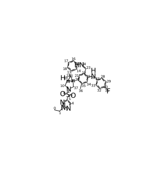 CCn1ncc(S(=O)(=O)N2C[C@H]3[C@H](c4ccccc4)[C@@]3(c3cc(C=N)c(Nc4ccc(F)cc4)cc3C)C2)n1